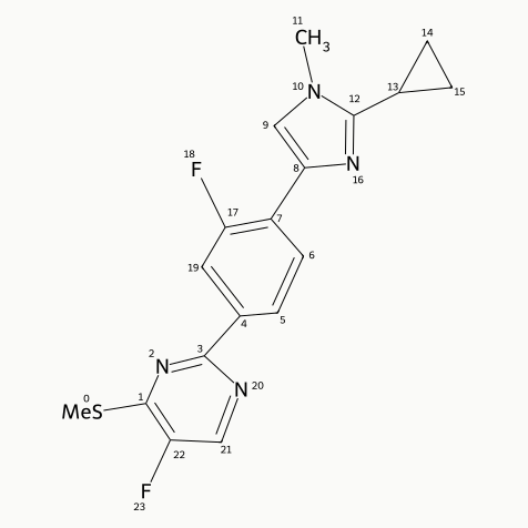 CSc1nc(-c2ccc(-c3cn(C)c(C4CC4)n3)c(F)c2)ncc1F